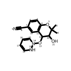 CC1(C)Oc2ccc(C#N)cc2C(ON2C=CC=CN2)C1O